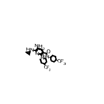 Nc1cc(C(=O)N[C@H]2CC[C@H](C(F)(F)F)CC2)c(N2CCC(C(F)(F)F)CC2)nc1NC1CC1